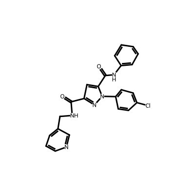 O=C(NCc1cccnc1)c1cc(C(=O)Nc2ccccc2)n(-c2ccc(Cl)cc2)n1